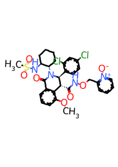 COc1cccc2c1[C@@H](C(=O)NOCc1cccc[n+]1[O-])[C@H](c1ccc(Cl)cc1Cl)N([C@H]1CCCC[C@@H]1NS(C)(=O)=O)C2=O